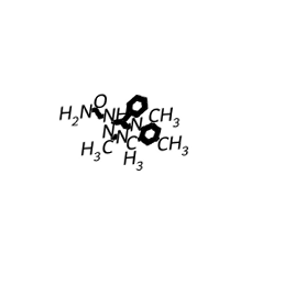 Cc1cc(C)c(-n2c3ccccc3c3c(NCC(N)=O)nc(C)nc32)c(C)c1